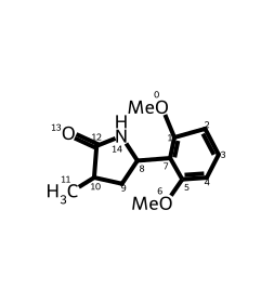 COc1cccc(OC)c1C1CC(C)C(=O)N1